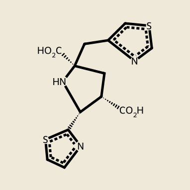 O=C(O)[C@H]1C[C@@](Cc2cscn2)(C(=O)O)N[C@H]1c1nccs1